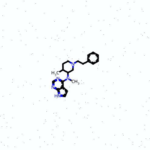 CC1CCN(CCc2ccccc2)CC1N(C)c1ncnc2[nH]ccc12